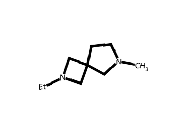 CCN1CC2(CCN(C)C2)C1